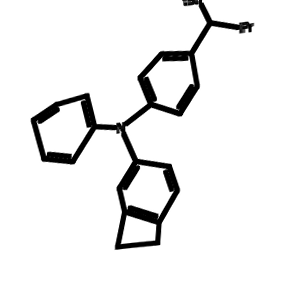 CC(C)C(c1ccc(N(c2ccccc2)c2ccc3c(c2)CC3)cc1)C(C)(C)C